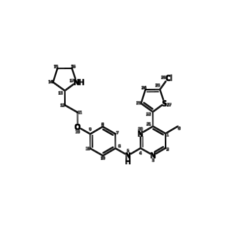 Cc1cnc(Nc2ccc(OCCC3CCCN3)cc2)nc1-c1ccc(Cl)s1